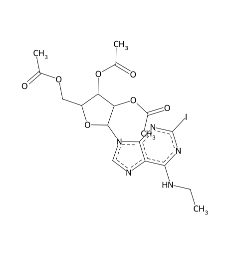 CCNc1nc(I)nc2c1ncn2C1OC(COC(C)=O)C(OC(C)=O)C1OC(C)=O